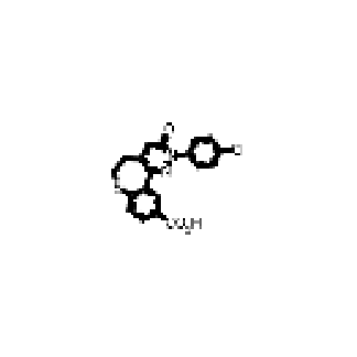 O=C(O)c1ccc2c(c1)-c1nn(-c3ccc(Cl)cc3)c(=O)cc1CCS2